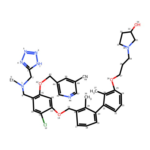 CCN(Cc1nnn[nH]1)Cc1cc(Cl)c(OCc2cccc(-c3cccc(OCCCN4CCC(O)C4)c3C)c2C)cc1OCc1cncc(C#N)c1